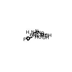 NC1=c2ncn([C@@H]3O[C@H](CO)[C@@H](O)[C@H]3O)c2=NCN1OCc1ccc(F)cc1